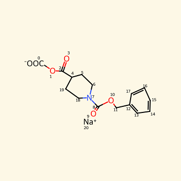 O=C([O-])OC(=O)C1CCN(C(=O)OCc2ccccc2)CC1.[Na+]